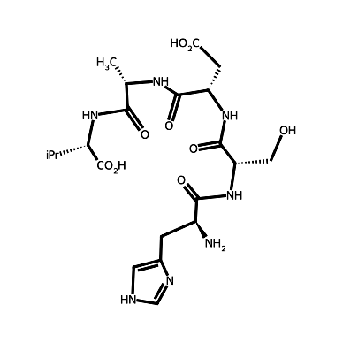 CC(C)[C@H](NC(=O)[C@H](C)NC(=O)[C@H](CC(=O)O)NC(=O)[C@H](CO)NC(=O)[C@@H](N)Cc1c[nH]cn1)C(=O)O